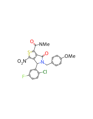 CNC(=O)c1sc([N+](=O)[O-])c2c1C(=O)N(Cc1ccc(OC)cc1)C2c1cc(F)ccc1Cl